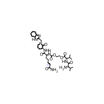 CC(C)[C@H](N)C(=O)N[C@H](C(=O)OCCOC(=O)N[C@@H](CC/C=C/C(N)=O)C(=O)Nc1cccn(Cc2nc3ccccc3[nH]2)c1=O)C(C)C